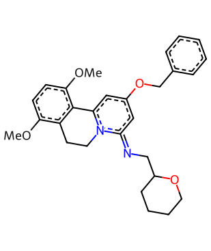 COc1ccc(OC)c2c1CCn1c-2cc(OCc2ccccc2)cc1=NCC1CCCCO1